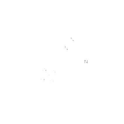 CCN1C=CN(CC)C1C.CCOP(=O)(OCC)OCC.c1ccc2ncccc2c1